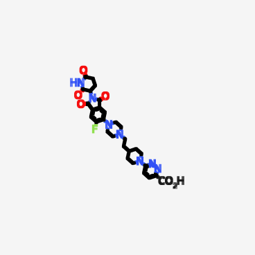 O=C1CCC(N2C(=O)c3cc(F)c(N4CCN(CCC5CCN(c6ccc(C(=O)O)nn6)CC5)CC4)cc3C2=O)C(=O)N1